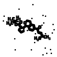 CN(C)C=CC(=O)c1ccc2c(c1)CCO[C@@H]2[C@@H]1CCCN1C(=O)OC(C)(C)C